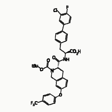 CC(C)(C)OC(=O)N1Cc2cc(Oc3ccc(C(F)(F)F)cc3)ccc2C[C@H]1C(=O)N[C@@H](Cc1ccc(-c2ccc(F)c(Cl)c2)cc1)C(=O)O